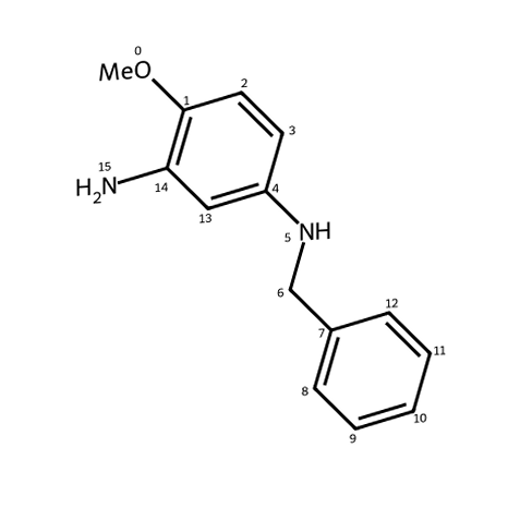 COc1ccc(NCc2ccccc2)cc1N